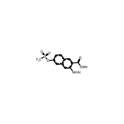 COC(=O)c1cc2ccc(OS(=O)(=O)C(F)(F)F)cc2cc1NC(C)=O